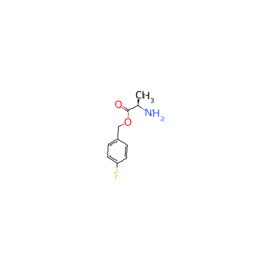 C[C@@H](N)C(=O)OCc1ccc(F)cc1